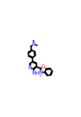 CN(C)Cc1ccc(-c2cnc(N)c(-c3nc4ccccc4o3)c2)cc1